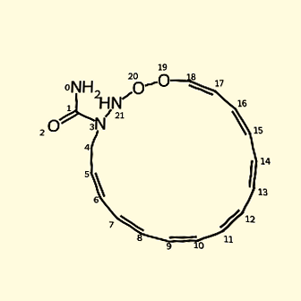 NC(=O)N1CC=CC=CC=CC=CC=CC=CC=COON1